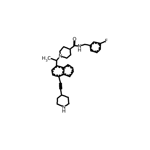 CC(c1ccc(C#CC2CCNCC2)c2ccccc12)N1CCC(C(=O)NCc2cccc(F)c2)CC1